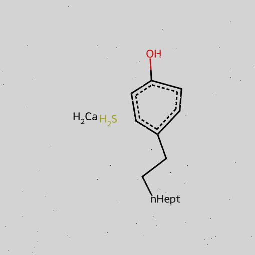 CCCCCCCCCc1ccc(O)cc1.S.[CaH2]